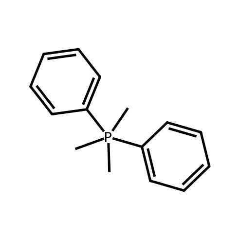 CP(C)(C)(c1ccccc1)c1ccccc1